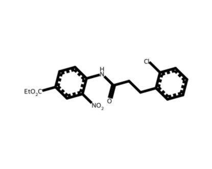 CCOC(=O)c1ccc(NC(=O)CCc2ccccc2Cl)c([N+](=O)[O-])c1